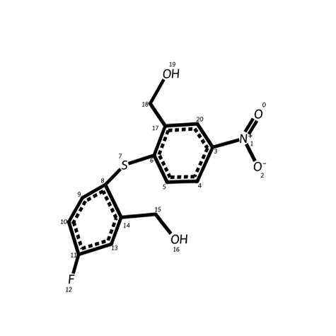 O=[N+]([O-])c1ccc(Sc2ccc(F)cc2CO)c(CO)c1